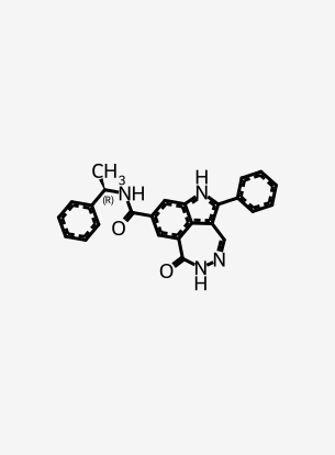 C[C@@H](NC(=O)c1cc2c3c(c(-c4ccccc4)[nH]c3c1)C=NNC2=O)c1ccccc1